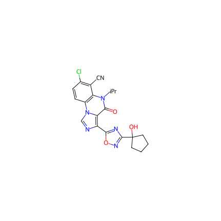 CC(C)n1c(=O)c2c(-c3nc(C4(O)CCCC4)no3)ncn2c2ccc(Cl)c(C#N)c21